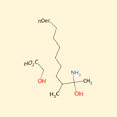 CCCCCCCCCCCCCCCCC(C)C(C)(N)O.O=C(O)CO